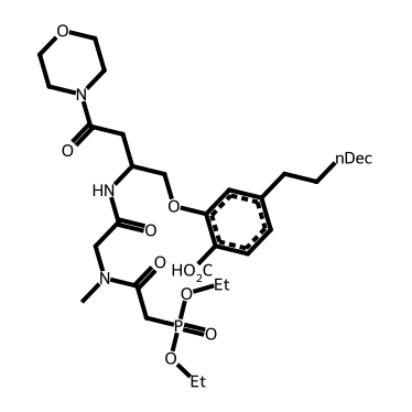 CCCCCCCCCCCCc1ccc(C(=O)O)c(OCC(CC(=O)N2CCOCC2)NC(=O)CN(C)C(=O)CP(=O)(OCC)OCC)c1